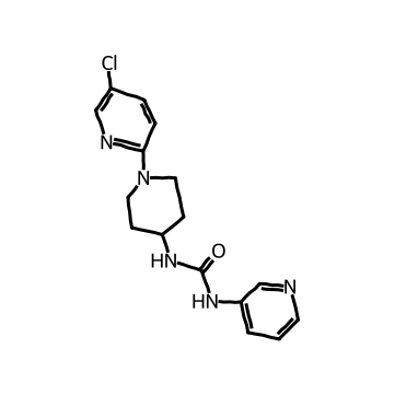 O=C(Nc1cccnc1)NC1CCN(c2ccc(Cl)cn2)CC1